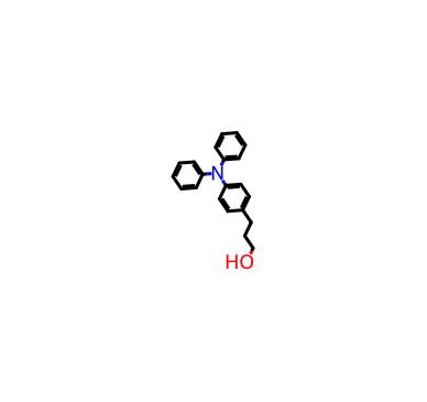 OCCCc1ccc(N(c2ccccc2)c2ccccc2)cc1